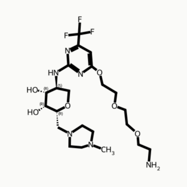 CN1CCN(C[C@H]2OC[C@H](Nc3nc(OCCOCCOCCN)cc(C(F)(F)F)n3)[C@@H](O)[C@H]2O)CC1